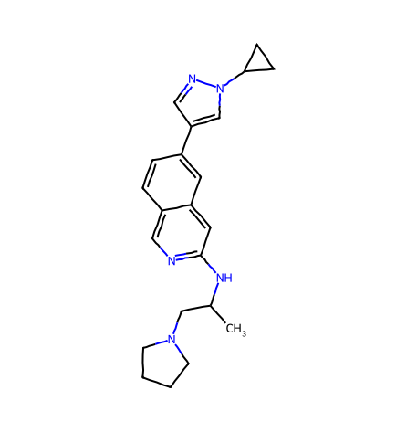 CC(CN1CCCC1)Nc1cc2cc(-c3cnn(C4CC4)c3)ccc2cn1